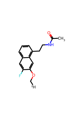 [2H]COc1cc2c(CCNC(C)=O)cccc2cc1F